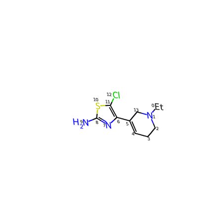 CCN1CCC=C(c2nc(N)sc2Cl)C1